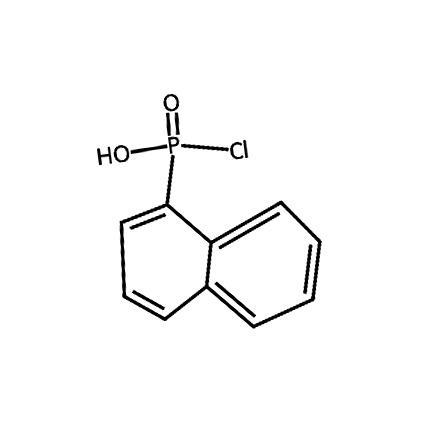 O=P(O)(Cl)c1cccc2ccccc12